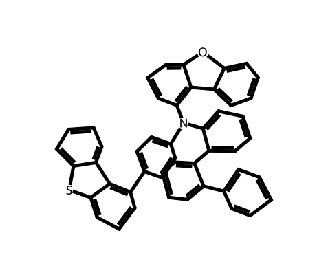 c1ccc(-c2ccccc2-c2ccccc2N(c2ccc(-c3cccc4sc5ccccc5c34)cc2)c2cccc3oc4ccccc4c23)cc1